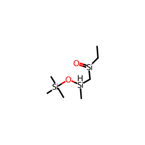 CC[Si](=O)C[SiH](C)O[Si](C)(C)C